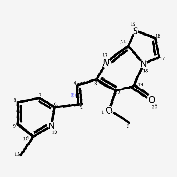 COc1c(/C=C/c2cccc(C)n2)nc2sccn2c1=O